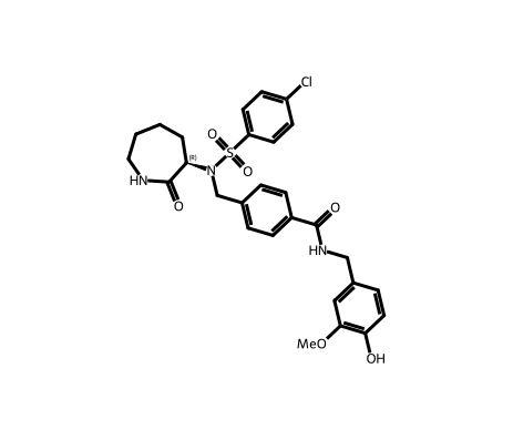 COc1cc(CNC(=O)c2ccc(CN([C@@H]3CCCCNC3=O)S(=O)(=O)c3ccc(Cl)cc3)cc2)ccc1O